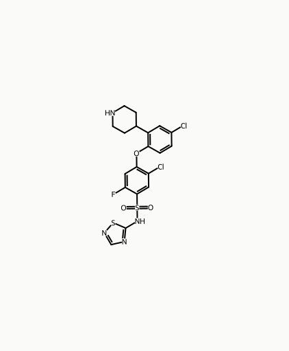 O=S(=O)(Nc1ncns1)c1cc(Cl)c(Oc2ccc(Cl)cc2C2CCNCC2)cc1F